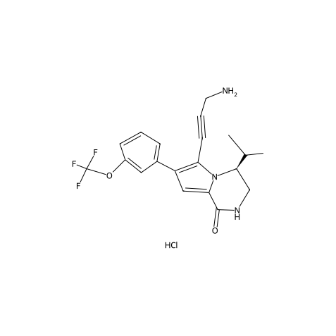 CC(C)[C@H]1CNC(=O)c2cc(-c3cccc(OC(F)(F)F)c3)c(C#CCN)n21.Cl